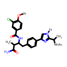 CCn1cc(-c2ccc(CC(NC(=O)c3ccc(OC(C)C)c(Cl)c3)C(C)C(N)=O)cc2)nc1C(C)NC(C)=O